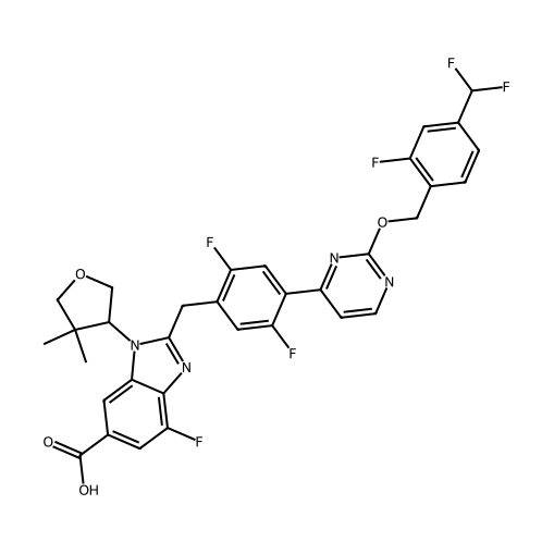 CC1(C)COCC1n1c(Cc2cc(F)c(-c3ccnc(OCc4ccc(C(F)F)cc4F)n3)cc2F)nc2c(F)cc(C(=O)O)cc21